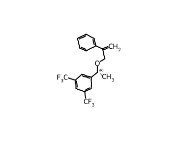 C=C(CO[C@H](C)c1cc(C(F)(F)F)cc(C(F)(F)F)c1)c1ccccc1